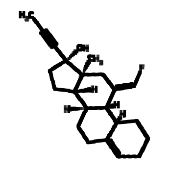 CC#C[C@]1(O)CC[C@H]2[C@@H]3CCC4=CCCC[C@@H]4[C@H]3/C(=C/F)C[C@@]21C